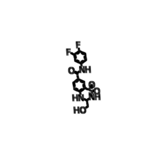 O=C(Nc1ccc(F)c(F)c1)c1ccc2c(c1)S(=O)(=O)NC(CO)N2